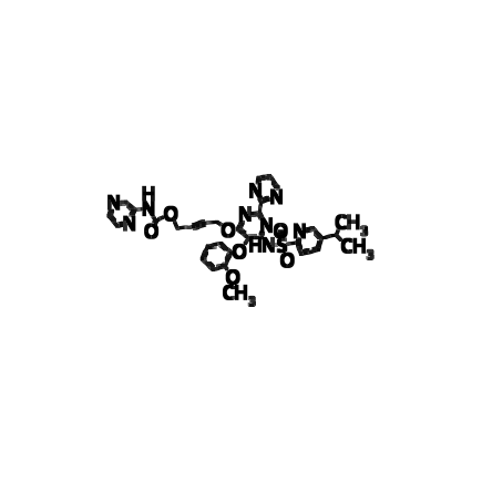 COc1ccccc1Oc1c(NS(=O)(=O)c2ccc(C(C)C)cn2)nc(-c2ncccn2)nc1OCC#CCOC(=O)Nc1cnccn1